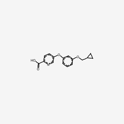 O=C(O)c1ccc(Oc2cccc(OCC3CC3)c2)cn1